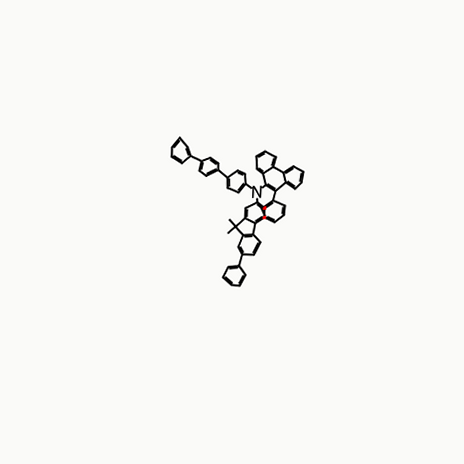 CC1(C)c2cc(-c3ccccc3)ccc2-c2ccc(N(c3ccc(-c4ccc(-c5ccccc5)cc4)cc3)c3c(-c4ccccc4)c4ccccc4c4ccccc34)cc21